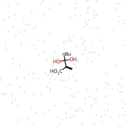 C=C(C(=O)O)C(O)(O)CCCC